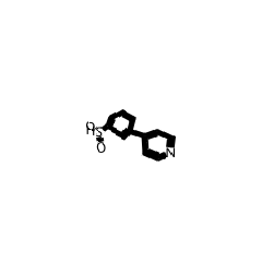 O=[SH](=O)c1cccc(-c2ccncc2)c1